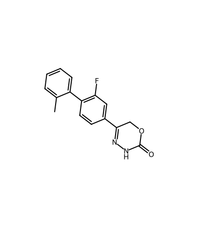 Cc1ccccc1-c1ccc(C2=NNC(=O)OC2)cc1F